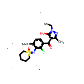 COc1ccc(C(=O)c2c(C)nn(CC(C)=O)c2O)c(Cl)c1N=S1(=O)CCCCC1